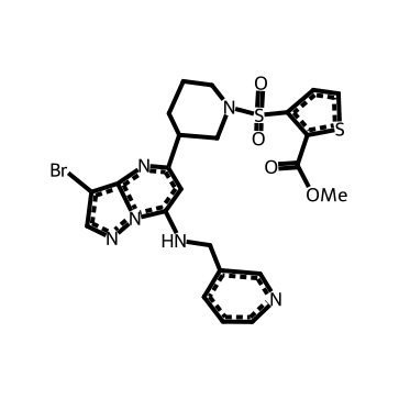 COC(=O)c1sccc1S(=O)(=O)N1CCCC(c2cc(NCc3cccnc3)n3ncc(Br)c3n2)C1